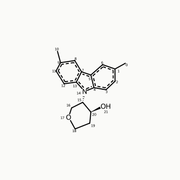 Cc1ccc2c(c1)c1cc(C)ccc1n2[C@H]1COCC[C@@H]1O